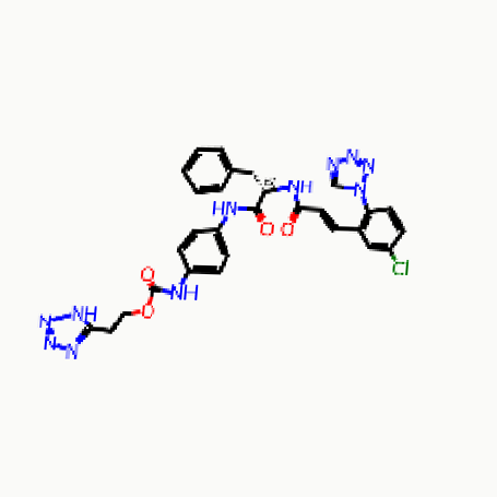 O=C(C=Cc1cc(Cl)ccc1-n1cnnn1)N[C@@H](Cc1ccccc1)C(=O)Nc1ccc(NC(=O)OCCc2nnn[nH]2)cc1